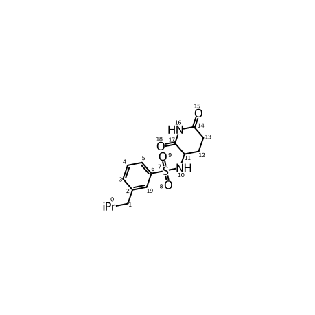 CC(C)Cc1cccc(S(=O)(=O)NC2CCC(=O)NC2=O)c1